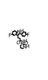 O=C(CCc1c(-c2ccc(F)cc2)[nH]c2ccc(F)cc12)NN1CCCNC1=O